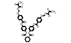 C=C(F)C(=O)OCOc1ccc(C(=O)Oc2ccc(SC(=O)[C@H]3CCCC[C@@H]3C(=O)Sc3ccc(OC(=O)c4ccc(OCOC(=O)C(=C)F)cc4)cc3)cc2)cc1